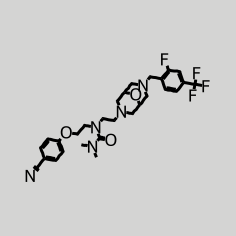 CN(C)C(=O)N(CCOc1ccc(C#N)cc1)CCN1CC2CN(Cc3ccc(C(F)(F)F)cc3F)CC(C1)O2